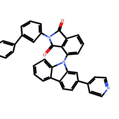 O=C1c2cccc(-n3c4ccccc4c4ccc(-c5ccncc5)cc43)c2C(=O)N1c1cccc(-c2ccccc2)c1